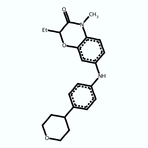 CCC1Oc2cc(Nc3ccc(C4CCOCC4)cc3)ccc2N(C)C1=O